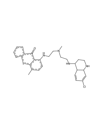 Cc1ccc(NCCN(C)CCNC2CCNC3C=C(Cl)C=CC32)c2c(=O)c3ccccc3sc12